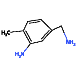 Cc1ccc(CN)cc1N